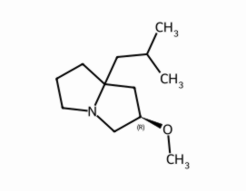 CO[C@H]1CN2CCCC2(CC(C)C)C1